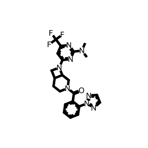 CN(C)c1nc(N2CC3CCN(C(=O)c4ccccc4-n4nccn4)CC32)cc(C(F)(F)F)n1